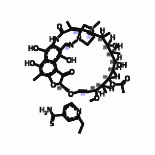 CCc1cc(C(N)=S)ccn1.CO[C@H]1/C=C/O[C@@]2(C)Oc3c(C)c(O)c4c(O)c(c(/C=N/N5CCN(C)CC5)c(O)c4c3C2=O)NC(=O)/C(C)=C\C=C\[C@H](C)[C@H](O)[C@@H](C)[C@@H](O)[C@@H](C)[C@H](OC(C)=O)[C@@H]1C